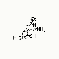 CCOC1=NC(N)=CC(c2ccc(C)cc2S)C1